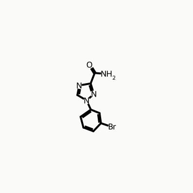 NC(=O)c1ncn(-c2cccc(Br)c2)n1